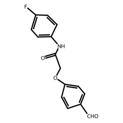 O=Cc1ccc(OCC(=O)Nc2ccc(F)cc2)cc1